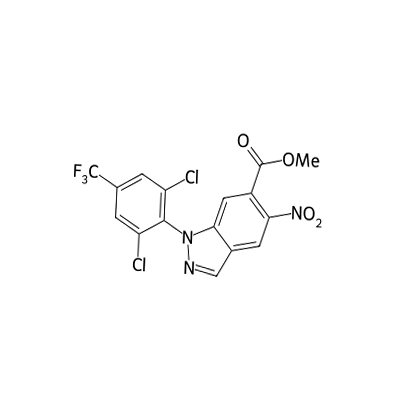 COC(=O)c1cc2c(cnn2-c2c(Cl)cc(C(F)(F)F)cc2Cl)cc1[N+](=O)[O-]